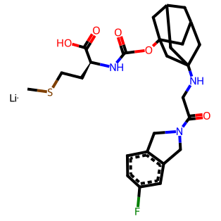 CSCC[C@H](NC(=O)OC12CC3CC(CC(NCC(=O)N4Cc5ccc(F)cc5C4)(C3)C1)C2)C(=O)O.[Li]